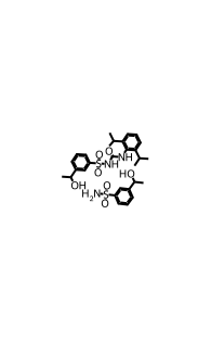 CC(C)c1cccc(C(C)C)c1NC(=O)NS(=O)(=O)c1cccc(C(C)O)c1.CC(O)c1cccc(S(N)(=O)=O)c1